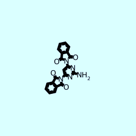 Nc1nc(N2C(=O)c3ccccc3C2=O)cc(N2C(=O)c3ccccc3C2=O)n1